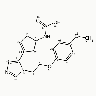 COc1ccc(OCCn2cncc2C2=CCC(NC(=O)O)C2)cc1